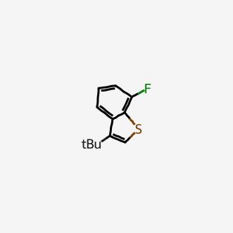 CC(C)(C)c1csc2c(F)cccc12